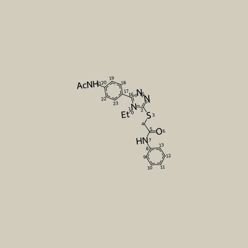 CCn1c(SCC(=O)Nc2ccccc2)nnc1-c1ccc(NC(C)=O)cc1